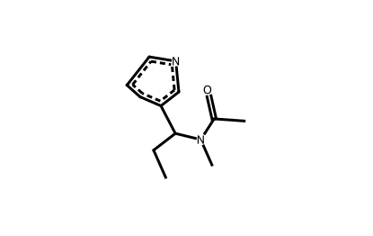 CCC(c1cccnc1)N(C)C(C)=O